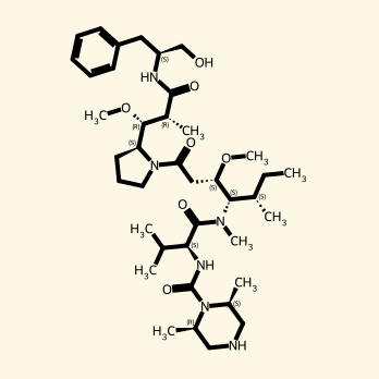 CC[C@H](C)[C@@H]([C@H](CC(=O)N1CCC[C@H]1[C@H](OC)[C@@H](C)C(=O)N[C@H](CO)Cc1ccccc1)OC)N(C)C(=O)[C@@H](NC(=O)N1[C@H](C)CNC[C@@H]1C)C(C)C